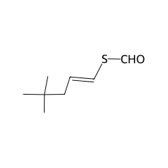 CC(C)(C)C/C=C/SC=O